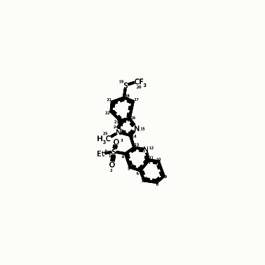 CCS(=O)(=O)c1cc2ccccc2nc1-c1nc2cc(SC(F)(F)F)ccc2n1C